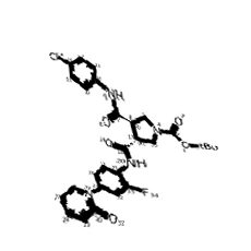 CC(C)(C)OC(=O)N1C[C@H](C(=O)Nc2ccc(Cl)cc2)[C@@H](C(=O)Nc2ccc(-n3ccccc3=O)cc2F)C1